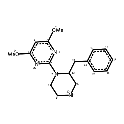 COc1cc(OC)nc(N2CCNCC2Cc2ccccc2)n1